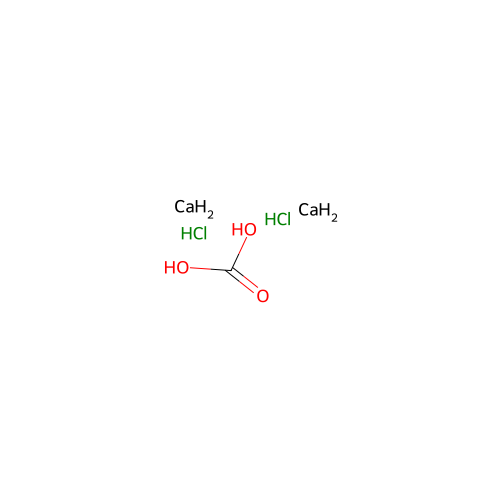 Cl.Cl.O=C(O)O.[CaH2].[CaH2]